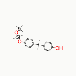 CC(C)(c1ccc(O)cc1)c1ccc(O[Si](C)(C)O[Si](C)(C)C)cc1